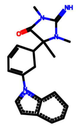 CN1C(=N)N(C)C(C)(C2C=CC=C(n3ccc4ccccc43)C2)C1=O